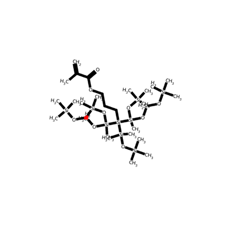 C=C(C)C(=O)OCCC[Si]([Si](C)(C)O[Si](C)(C)C)([Si](C)(O[SiH2]O[Si](C)(C)C)O[Si](C)(C)C)[Si](C)(O[SiH2]O[Si](C)(C)C)O[Si](C)(C)C